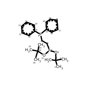 CC(C)(C)OP(CCP(c1ccccc1)c1ccccc1)OC(C)(C)C